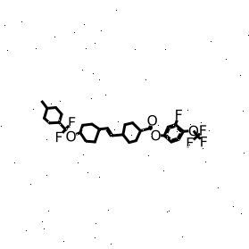 CC1CCC(C(F)(F)OC2CCC(/C=C/C3CCC(C(=O)Oc4ccc(OC(F)(F)F)c(F)c4)CC3)CC2)CC1